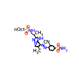 [C-]#[N+]c1cc(S(N)(=O)=O)ccc1N=Nc1c(C)cn2nc(C(C)CNS(=O)(=O)CCCCCCCC)[nH]c12